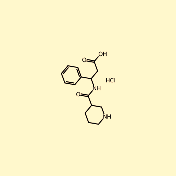 Cl.O=C(O)CC(NC(=O)C1CCCNC1)c1ccccc1